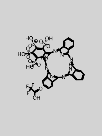 O=C(O)C(F)(F)F.O=S(=O)(O)c1c(S(=O)(=O)O)c(S(=O)(=O)O)c2c3nc4nc(nc5[nH]c(nc6nc(nc([nH]3)c2c1S(=O)(=O)O)-c1ccccc1-6)c1ccccc51)-c1ccccc1-4